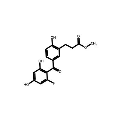 COC(=O)CCc1cc(C(=O)c2c(O)cc(O)cc2F)ccc1O